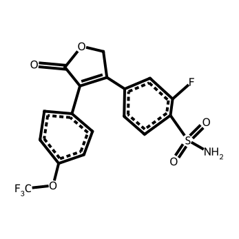 NS(=O)(=O)c1ccc(C2=C(c3ccc(OC(F)(F)F)cc3)C(=O)OC2)cc1F